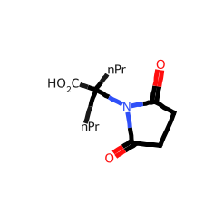 CCCC(CCC)(C(=O)O)N1C(=O)CCC1=O